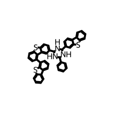 c1ccc(C2NC(c3ccc4c(c3)sc3ccccc34)NC(c3ccc4sc5cccc(-c6cccc7c6sc6ccccc67)c5c4c3)N2)cc1